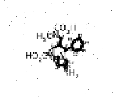 CN(CC(CN(C)C(=O)O)C(c1ccccc1)n1cc(N)cn1)C(=O)O